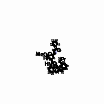 COC(=O)N[C@@H](CC/C=C/C(=O)N1CCCC1)C(=O)Nc1cccn(Cc2cc3cccc(CC(C)C)c3[nH]2)c1=O